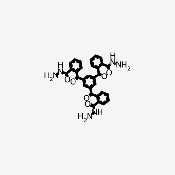 NNC(=O)c1ccccc1C(=O)c1cc(C(=O)c2ccccc2C(=O)NN)cc(C(=O)c2ccccc2C(=O)NN)c1